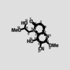 COc1nc2ccc(=O)n(CC(O)OC)c2c(O)c1C#N